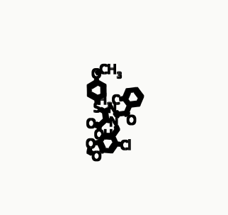 COc1ccc(Sc2nc(C(=O)c3ccccc3C)n(Cc3cc4c(cc3Cl)OCO4)c2C(=O)O)cc1